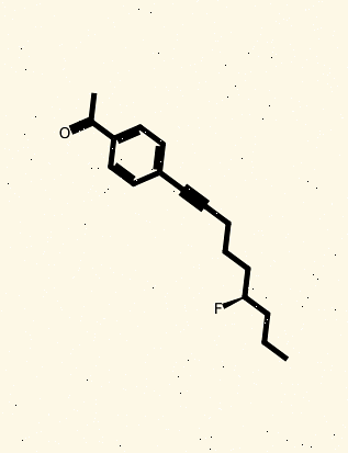 CCC[C@@H](F)CCCC#Cc1ccc(C(C)=O)cc1